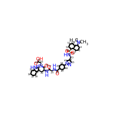 CN(C)c1cccc2c(S(=O)(=O)NCc3cnn(-c4ccc(C(=O)NCC(=O)NC(Cc5c[nH]c6ccccc56)C(=O)NCC(=O)O)cc4)c3)cccc12